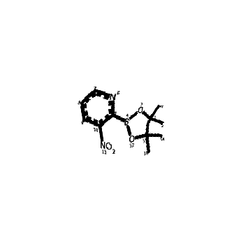 CC1(C)OB(c2ncccc2[N+](=O)[O-])OC1(C)C